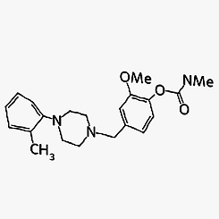 CNC(=O)Oc1ccc(CN2CCN(c3ccccc3C)CC2)cc1OC